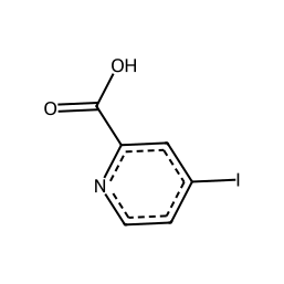 O=C(O)c1cc(I)ccn1